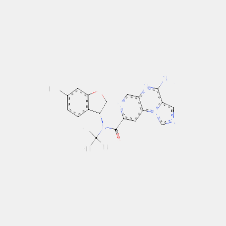 [2H]C([2H])([2H])N(C(=O)c1cc2c(cn1)nc(N)c1cncn12)[C@@H]1COc2cc(C(F)(F)F)ccc21